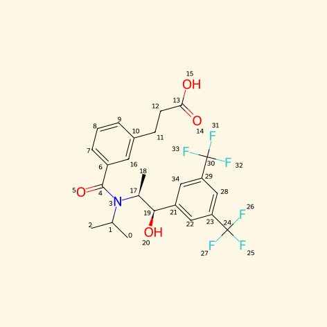 CC(C)N(C(=O)c1cccc(CCC(=O)O)c1)[C@@H](C)[C@H](O)c1cc(C(F)(F)F)cc(C(F)(F)F)c1